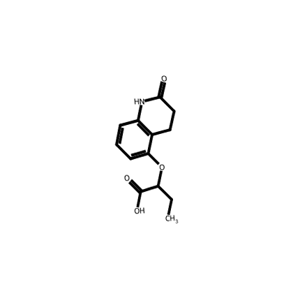 CCC(Oc1cccc2c1CCC(=O)N2)C(=O)O